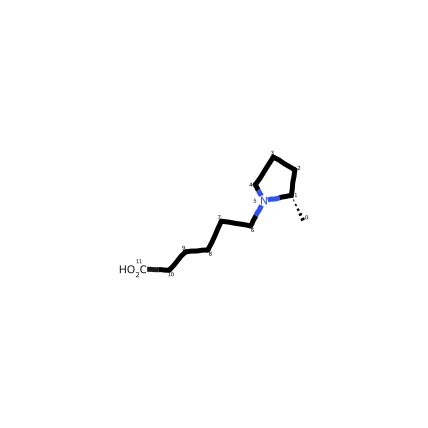 C[C@H]1CCCN1CCCCCC(=O)O